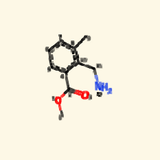 COC(=O)c1cccc(C)c1CN